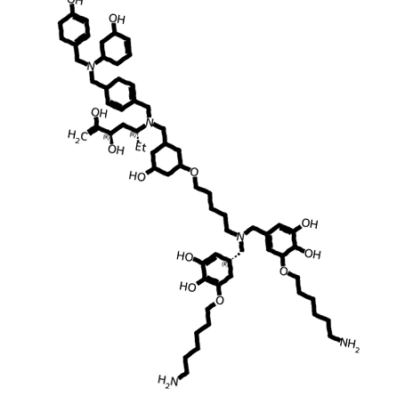 C=C(O)[C@H](O)C[C@@H](CC)N(CC1=CCC(CN(CC2=CC=C(O)CC2)C2CC=CC(O)C2)C=C1)CC1CC(O)CC(OCCCCCN(CC2=CC(OCCCCCCN)C(O)C(O)=C2)C[C@H]2C=C(O)C(O)=C(OCCCCCCN)C2)C1